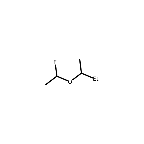 CCC(C)OC(C)F